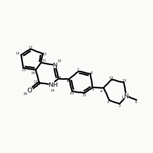 CN1CCC(c2ccc(-c3nc4ccccc4c(=O)[nH]3)cc2)CC1